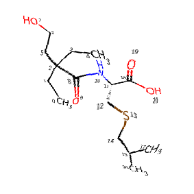 CCC(CC)(CCO)C(=O)N[C@@H](CSCC(C)C)C(=O)O